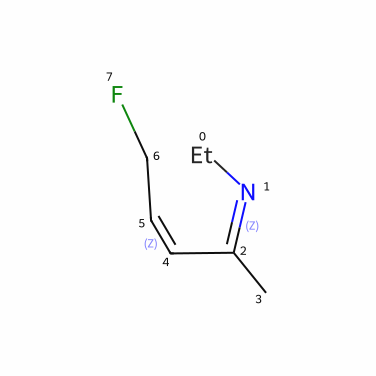 CC/N=C(C)\C=C/CF